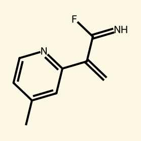 C=C(C(=N)F)c1cc(C)ccn1